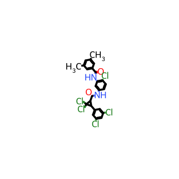 Cc1cc(C)cc(C(=O)Nc2cc(NC(=O)C3C(c4cc(Cl)cc(Cl)c4)C3(Cl)Cl)ccc2Cl)c1